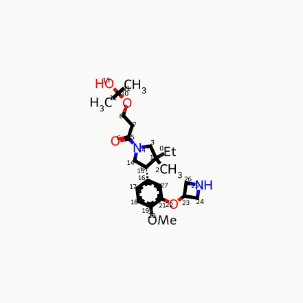 CCC1(C)CN(C(=O)CCOC(C)(C)O)C[C@H]1c1ccc(OC)c(OC2CNC2)c1